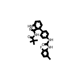 Cc1ccc(F)c(NC(=O)Nc2ccc(-c3cccc4[nH]nc(NC(=O)C(C)(C)C)c34)cc2)c1